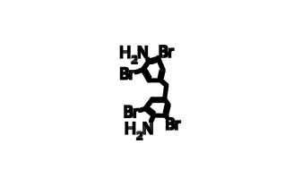 Nc1c(Br)cc(Cc2cc(Br)c(N)c(Br)c2)cc1Br